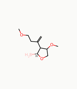 B[C@@H]1OCC(OC)C1C(=C)CCOC